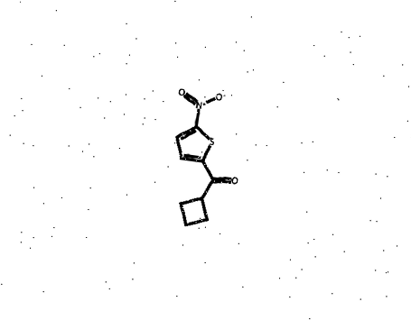 O=C(c1ccc([N+](=O)[O-])s1)C1CCC1